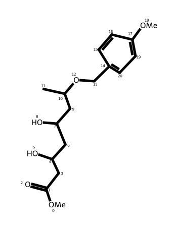 COC(=O)CC(O)CC(O)CC(C)OCc1ccc(OC)cc1